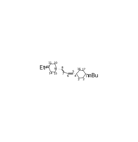 CCCC[C@H]1CC[C@H](C#C/C=C/[C@H]2CC[C@H](CC)CC2)CC1